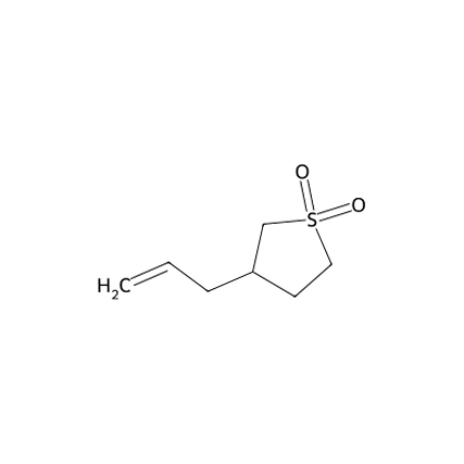 C=CCC1CCS(=O)(=O)C1